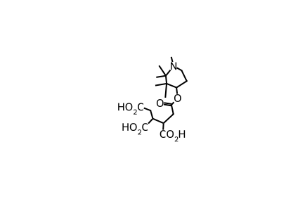 CN1CCC(OC(=O)CC(C(=O)O)C(CC(=O)O)C(=O)O)C(C)(C)C1(C)C